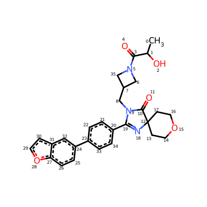 CC(O)C(=O)N1CC(CN2C(=O)C3(CCOCC3)N=C2c2ccc(-c3ccc4occc4c3)cc2)C1